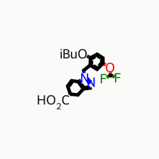 CC(C)COc1ccc(OC(F)F)cc1Cn1ncc2c1C=CC(C(=O)O)C2